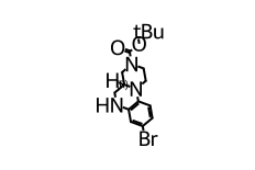 CC(C)(C)OC(=O)N1CCN2c3ccc(Br)cc3NC[C@@H]2C1